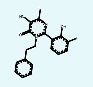 Cc1nc(-c2cccc(F)c2O)n(CCc2ccccc2)c(=O)c1C#N